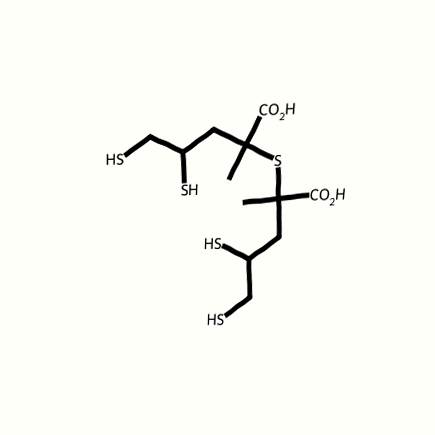 CC(CC(S)CS)(SC(C)(CC(S)CS)C(=O)O)C(=O)O